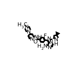 CN1CCN(c2ccnc(NC(=O)c3ccc(-c4nc([C@@H]5CC6(CC6)CN5)n5ccnc(N)c45)c(F)c3)c2)CC1